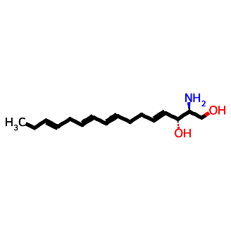 CC/C=C/C/C=C/C=C/CC/C=C/[C@@H](O)[C@@H](N)CO